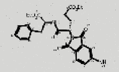 CCOC(=O)CC[C@@H](C(=O)N[C@@H](Cc1ccccc1)C(=O)OCC)N1C(=O)c2ccc(N)cc2C1=O